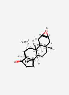 CO[C@H]1C[C@]2(C)C(=O)CC[C@H]2[C@@H]2CC[C@H]3CC4=C(C[C@]3(C)[C@H]21)O4